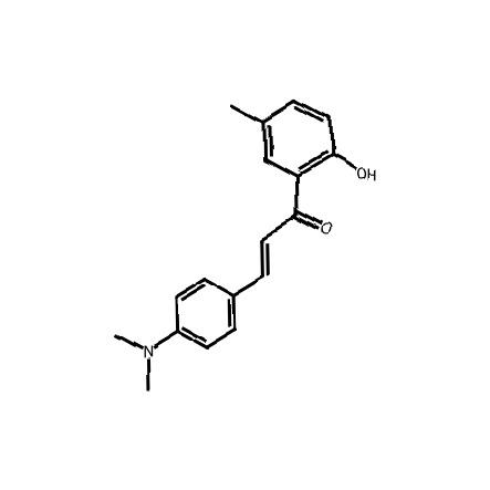 Cc1ccc(O)c(C(=O)C=Cc2ccc(N(C)C)cc2)c1